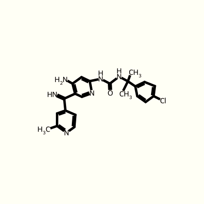 Cc1cc(C(=N)c2cnc(NC(=O)NC(C)(C)c3ccc(Cl)cc3)cc2N)ccn1